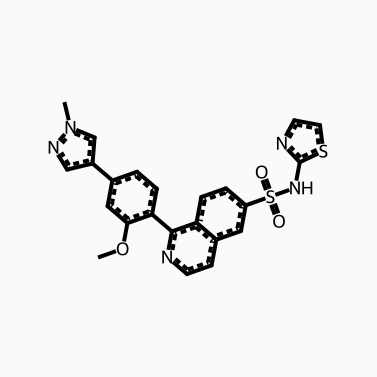 COc1cc(-c2cnn(C)c2)ccc1-c1nccc2cc(S(=O)(=O)Nc3nccs3)ccc12